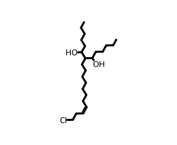 CCCCCC(O)C(CCCCCCC/C=C\CCCl)C(O)CCCCC